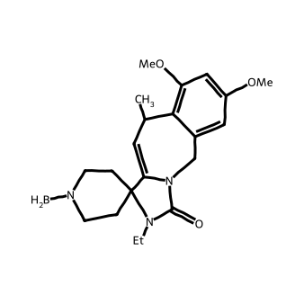 BN1CCC2(CC1)C1=CC(C)c3c(cc(OC)cc3OC)CN1C(=O)N2CC